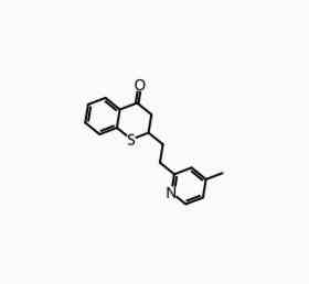 Cc1ccnc(CCC2CC(=O)c3ccccc3S2)c1